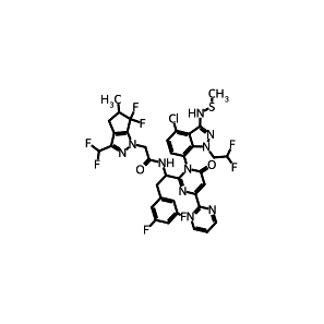 CSNc1nn(CC(F)F)c2c(-n3c(C(Cc4cc(F)cc(F)c4)NC(=O)Cn4nc(C(F)F)c5c4C(F)(F)C(C)C5)nc(-c4ncccn4)cc3=O)ccc(Cl)c12